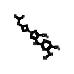 CCNc1nc(Nc2cn([C@H]3C[C@H](OC(F)F)C3)nc2C)ncc1C(F)(F)F